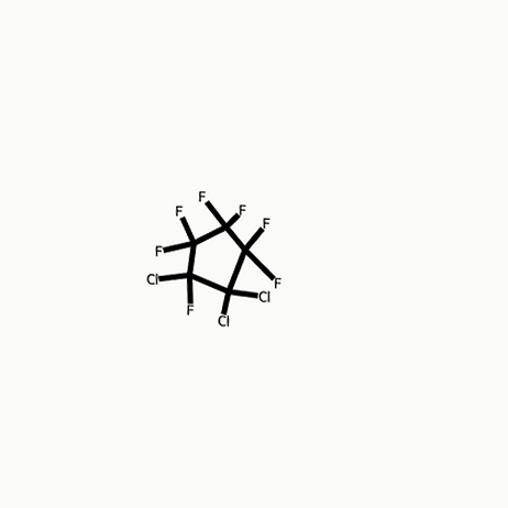 FC1(F)C(F)(F)C(F)(Cl)C(Cl)(Cl)C1(F)F